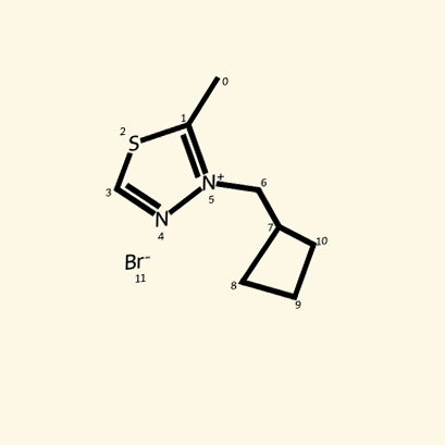 Cc1scn[n+]1CC1CCC1.[Br-]